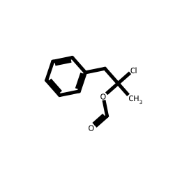 CC(Cl)(Cc1ccccc1)OC=O